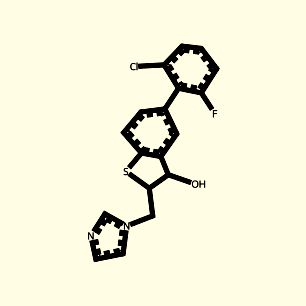 OC1c2cc(-c3c(F)cccc3Cl)ccc2SC1Cn1ccnc1